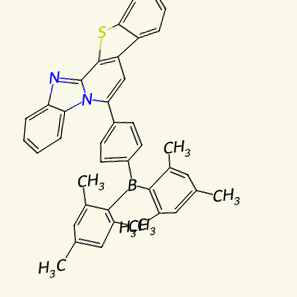 Cc1cc(C)c(B(c2ccc(-c3cc4c5ccccc5sc4c4nc5ccccc5n34)cc2)c2c(C)cc(C)cc2C)c(C)c1